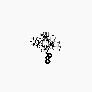 CC(C)(C)C(C(=O)O)N1CCN(C(=O)OCc2cccc3c2Cc2ccccc2-3)CCN(C(C(=O)O)C(C)(C)C)CCN(C(C(=O)O)C(C)(C)C)CC1